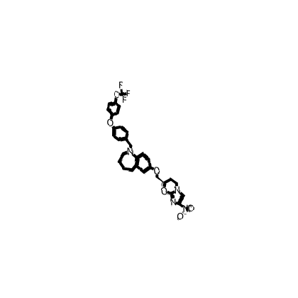 O=[N+]([O-])c1cn2c(n1)O[C@@H](COc1ccc3c(c1)CCCCN3Cc1ccc(Oc3ccc(OC(F)(F)F)cc3)cc1)CC2